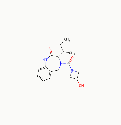 CCC(C)[C@H]1C(=O)Nc2ccccc2CN1C(=O)N1CC(O)C1